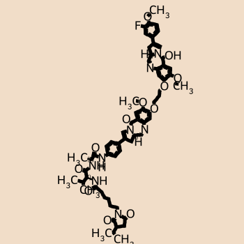 COc1ccc(C2=CN3C(O)c4cc(OC)c(OCCCOc5cc6c(cc5OC)C(=O)N5C=C(c7ccc(NC(=O)[C@H](C)NC(=O)[C@@H](NC(=O)CCCCCN8C(=O)CC(C(C)C)C8=O)C(C)C)cc7)C[C@H]5C=N6)cc4N=C[C@@H]3C2)cc1F